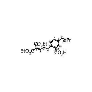 CCOC(=O)C(=CCCc1ccc(CC(C)C)cc1C(=O)O)C(=O)OCC